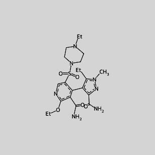 CCOc1ncc(S(=O)(=O)N2CCN(CC)CC2)c(-c2c(C(N)=O)nn(C)c2CC)c1C(N)=O